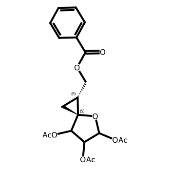 CC(=O)OC1O[C@]2(C[C@@H]2COC(=O)c2ccccc2)C(OC(C)=O)C1OC(C)=O